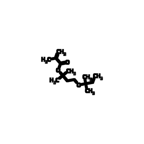 C=C(C)C(=O)OC(C)(C)CCOC(C)(C)CC